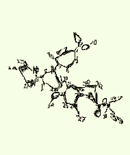 COC(=O)c1ccc([C@@H]2CC(c3ncccn3)CCN2Cc2c(OC)cc(C)c3c2ccn3C(=O)OC(C)(C)C)cc1